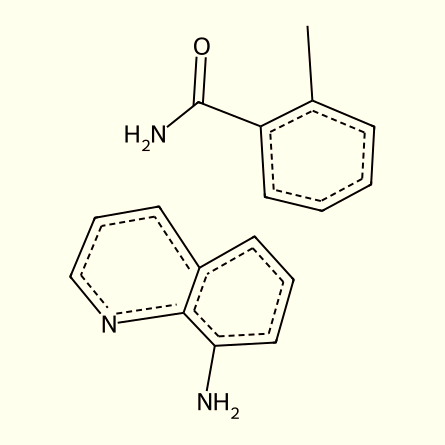 Cc1ccccc1C(N)=O.Nc1cccc2cccnc12